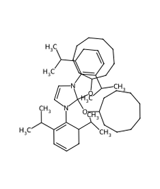 CC(C)C1=C(N2C=CN(C3=C(C(C)C)C=CCC3C(C)C)C2(OC2CCCCCCCC2)OC2CCCCCCCC2)C(C(C)C)CC=C1